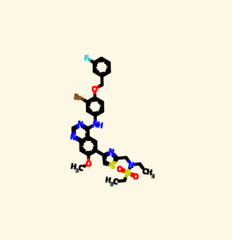 CCN(Cc1nc(-c2cc3c(Nc4ccc(OCc5cccc(F)c5)c(Br)c4)ncnc3cc2OC)cs1)S(=O)(=O)CC